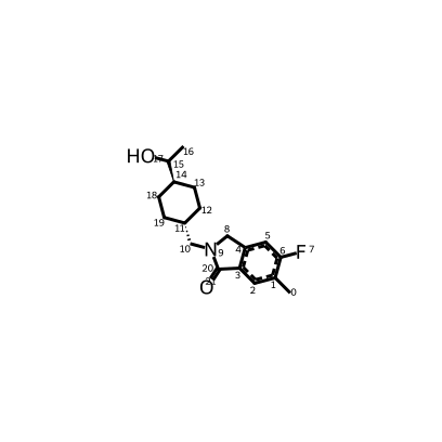 Cc1cc2c(cc1F)CN(C[C@H]1CC[C@H](C(C)O)CC1)C2=O